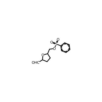 O=CC1CCC(COS(=O)(=O)c2ccccc2)O1